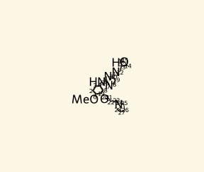 COc1ccc(Nc2nccc(NCC3COC3)n2)cc1OCCCN1CCCC1